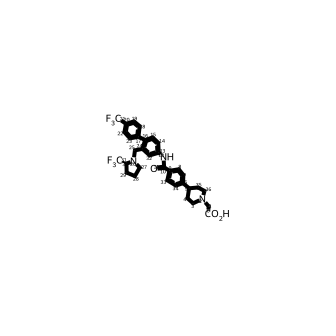 O=C(O)CN1CCC(c2ccc(C(=O)Nc3ccc(-c4ccc(C(F)(F)F)cc4)c(CN4CCC[C@H]4C(F)(F)F)c3)cc2)CC1